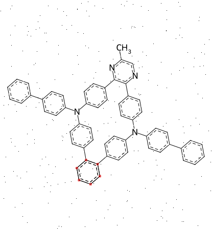 Cc1cnc(-c2ccc(N(c3ccc(-c4ccccc4)cc3)c3ccc(-c4ccccc4)cc3)cc2)c(-c2ccc(N(c3ccc(-c4ccccc4)cc3)c3ccc(-c4ccccc4)cc3)cc2)n1